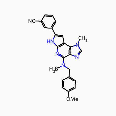 BN(Cc1ccc(OC)cc1)c1nc2[nH]c(-c3cccc(C#N)c3)cc2c2c1ncn2C